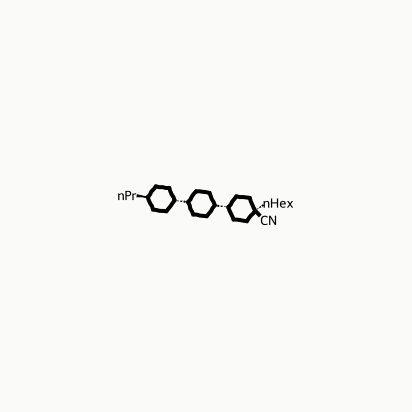 CCCCCC[C@]1(C#N)CC[C@H](C2CCC([C@H]3CC[C@H](CCC)CC3)CC2)CC1